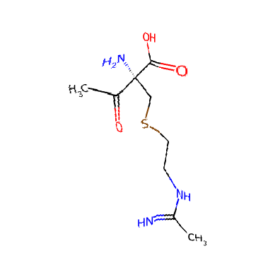 CC(=N)NCCSC[C@@](N)(C(C)=O)C(=O)O